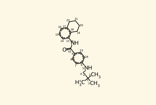 CC(C)(C)SNc1ccc(C(=O)Nc2cccc3c2CCCC3)cc1